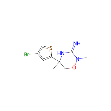 CN1OCC(C)(c2cc(Br)cs2)NC1=N